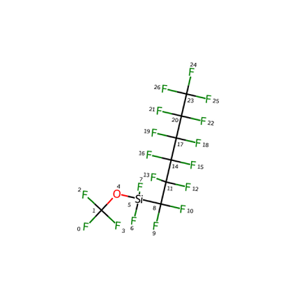 FC(F)(F)O[Si](F)(F)C(F)(F)C(F)(F)C(F)(F)C(F)(F)C(F)(F)C(F)(F)F